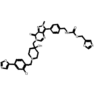 Cn1nc2c(=O)n(CC3(O)CCN(Cc4ccc(-c5cnco5)cc4Cl)CC3)cnc2c1-c1ccc(CNC(=O)OCc2cnco2)cc1